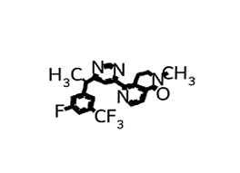 C[C@H](c1cc(F)cc(C(F)(F)F)c1)c1cc(-c2nccc3c2CCN(C)C3=O)ncn1